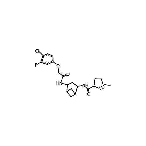 CN1CCC(C(=O)NC2CC(NC(=O)COc3ccc(Cl)c(F)c3)C3CC2C3)N1